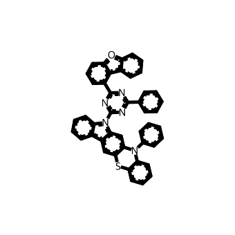 c1ccc(-c2nc(-c3cccc4oc5ccccc5c34)nc(-n3c4ccccc4c4cc5c(cc43)N(c3ccccc3)c3ccccc3S5)n2)cc1